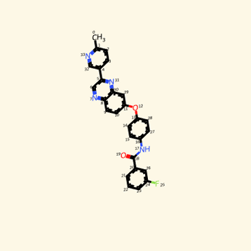 Cc1ccc(-c2cnc3ccc(Oc4ccc(NC(=O)c5cccc(F)c5)cc4)cc3n2)cn1